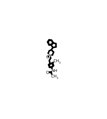 CC(=O)Nc1ccc(CC[N+]2([O-])CCC(C3CCc4ccccc43)CC2)c(C)c1